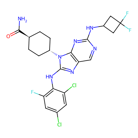 NC(=O)[C@H]1CC[C@H](n2c(Nc3c(F)cc(Cl)cc3Cl)nc3cnc(NC4CC(F)(F)C4)nc32)CC1